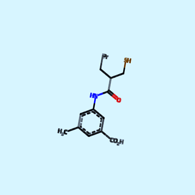 Cc1cc(NC(=O)C(CS)CC(C)C)cc(C(=O)O)c1